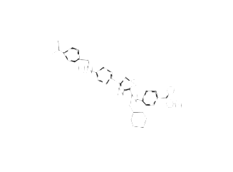 CC(C)c1ccc(CNc2ccc(-c3csc(N(CC4CCCCC4)c4ccc(C(=O)O)cc4)n3)cc2)cc1